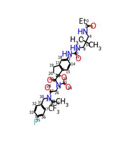 CCC(=O)NCC(C)(C)CNC(=O)Nc1ccc2c(c1)CC[C@@]21OC(=O)N(CC(=O)N(Cc2ccc(F)cc2)[C@@H](C)C(F)(F)F)C1=O